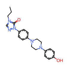 CCCn1cnn(-c2ccc(N3CCN(c4ccc(O)cc4)CC3)cc2)c1=O